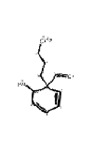 CCCCC1(C=O)C=CC=CC1O